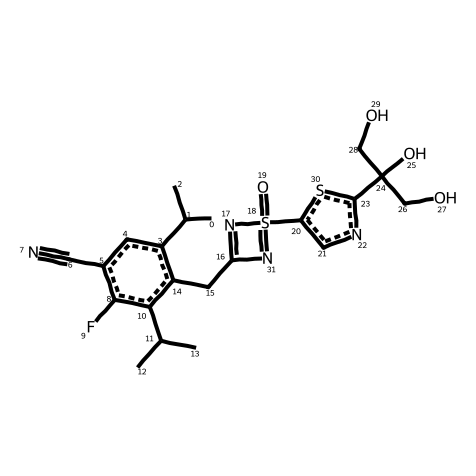 CC(C)c1cc(C#N)c(F)c(C(C)C)c1CC1=NS(=O)(c2cnc(C(O)(CO)CO)s2)=N1